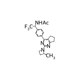 CC(=O)NC(c1ccc(-c2nc(N3CC[C@@H]3C)nc3c2CCC3)cc1)C(F)(F)F